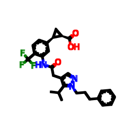 CC(C)c1c(CC(=O)Nc2cc([C@H]3C[C@H]3C(=O)O)ccc2C(F)(F)F)cnn1CCCc1ccccc1